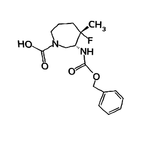 C[C@]1(F)CCCN(C(=O)O)C[C@H]1NC(=O)OCc1ccccc1